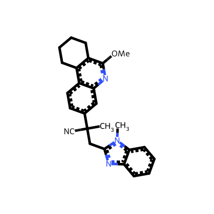 COc1nc2cc(C(C)(C#N)Cc3nc4ccccc4n3C)ccc2c2c1CCCC2